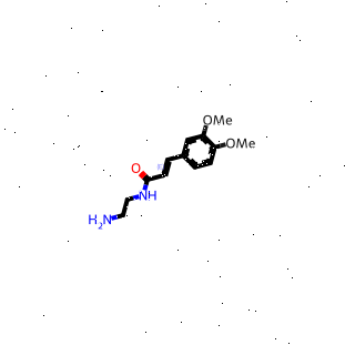 COc1ccc(/C=C/C(=O)NCCN)cc1OC